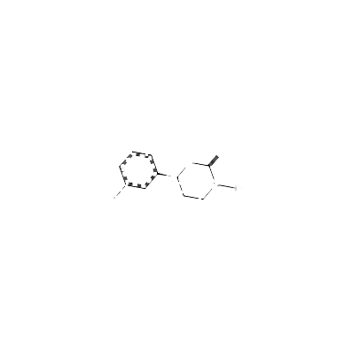 CC(C)N1CC[C@@H](c2cccc(Cl)c2)OC1=O